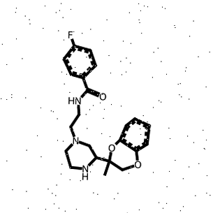 CC1(C2CN(CCNC(=O)c3ccc(F)cc3)CCN2)COc2ccccc2O1